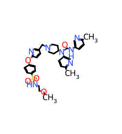 COCCNS(=O)(=O)c1ccc(Oc2ccc(CN3CCC(N(C(=O)Nc4ccc(C)nc4)c4ccc(C)nc4)CC3)cn2)cc1